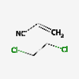 C=CC#N.ClCCCl